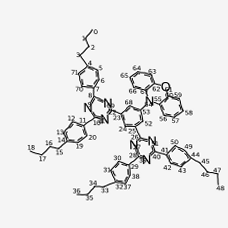 CCCCc1ccc(-c2nc(-c3ccc(CCCC)cc3)nc(-c3cc(-c4nc(-c5ccc(CCCC)cc5)nc(-c5ccc(CCCC)cc5)n4)cc(N4c5ccccc5Oc5ccccc54)c3)n2)cc1